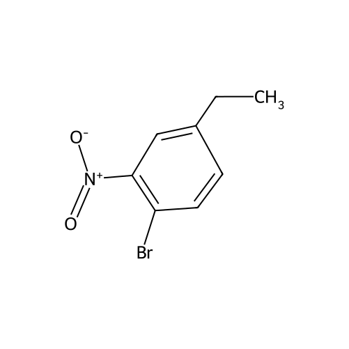 CCc1ccc(Br)c([N+](=O)[O-])c1